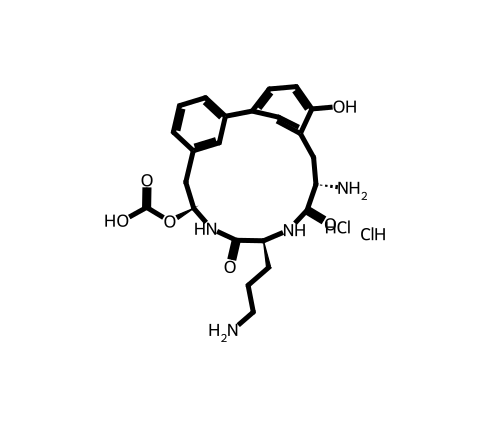 Cl.Cl.NCCC[C@@H]1NC(=O)[C@@H](N)Cc2cc(ccc2O)-c2cccc(c2)C[C@H](OC(=O)O)NC1=O